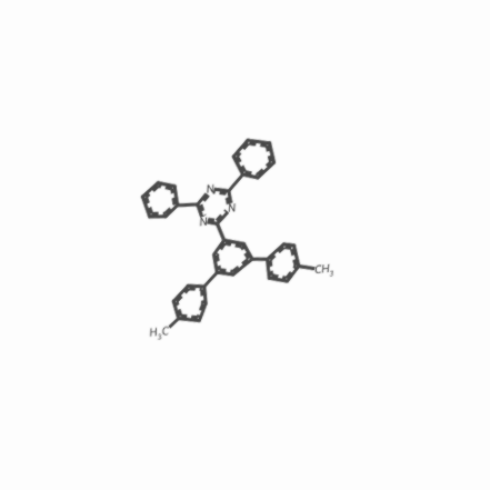 Cc1ccc(-c2cc(-c3ccc(C)cc3)cc(-c3nc(-c4ccccc4)nc(-c4ccccc4)n3)c2)cc1